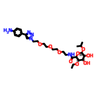 CCO[C@@H]1C(C(=O)NCCOCCOCCOCCn2cc(-c3ccc(N)cc3)nn2)O[C@@H](OC(C)C)[C@@H](O)[C@H]1O